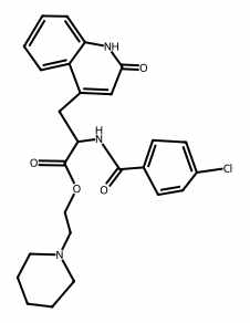 O=C(NC(Cc1cc(=O)[nH]c2ccccc12)C(=O)OCCN1CCCCC1)c1ccc(Cl)cc1